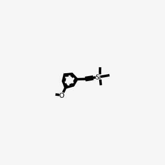 COc1cccc(C#C[Si](C)(C)C)c1